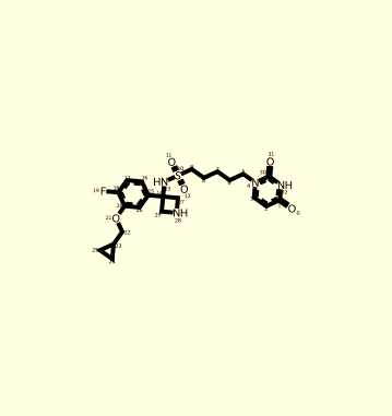 O=c1ccn(CCCCCS(=O)(=O)NC2(c3ccc(F)c(OCC4CC4)c3)CNC2)c(=O)[nH]1